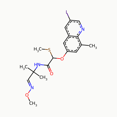 CON=CC(C)(C)NC(=O)C(Oc1cc(C)c2ncc(I)cc2c1)SC